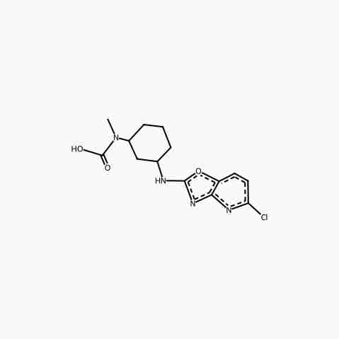 CN(C(=O)O)C1CCCC(Nc2nc3nc(Cl)ccc3o2)C1